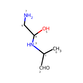 CC(C=O)NC(O)CN